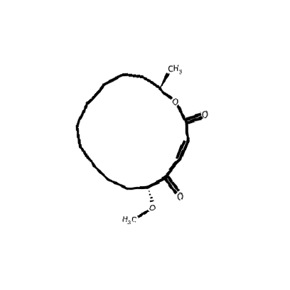 CO[C@@H]1CCCCCCCCC[C@@H](C)OC(=O)C=CC1=O